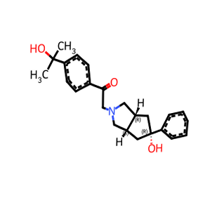 CC(C)(O)c1ccc(C(=O)CN2C[C@@H]3C[C@@](O)(c4ccccc4)C[C@@H]3C2)cc1